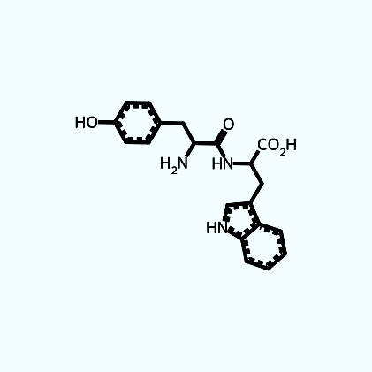 NC(Cc1ccc(O)cc1)C(=O)NC(Cc1c[nH]c2ccccc12)C(=O)O